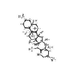 C[C@H]1CNC2[C@@H](C)[C@H]3[C@@H](C[C@H]4[C@@H]5CC[C@H]6C[C@@H](N)CC[C@]6(C)[C@H]5CC[C@]34C)O[C@@]2(O)C1